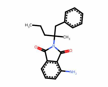 CCCC(C)(Cc1ccccc1)N1C(=O)c2cccc(N)c2C1=O